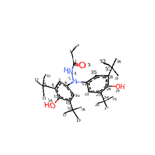 CCC(=O)NN(c1cc(C(C)(C)C)c(O)c(C(C)(C)C)c1)c1cc(C(C)(C)C)c(O)c(C(C)(C)C)c1